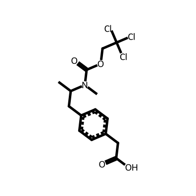 CC(Cc1ccc(CC(=O)O)cc1)N(C)C(=O)OCC(Cl)(Cl)Cl